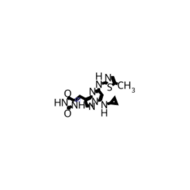 Cc1cnc(Nc2cc(NC3CC3)n3ncc(/C=C4\NC(=O)NC4=O)c3n2)s1